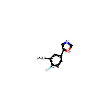 COc1cc(-c2cnco2)ccc1F